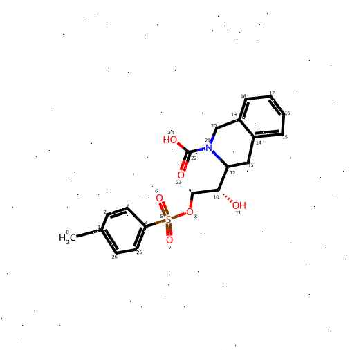 Cc1ccc(S(=O)(=O)OC[C@@H](O)C2Cc3ccccc3CN2C(=O)O)cc1